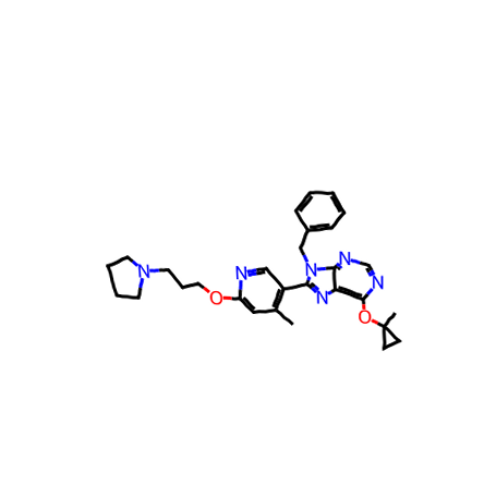 Cc1cc(OCCCN2CCCC2)ncc1-c1nc2c(OC3(C)CC3)ncnc2n1Cc1ccccc1